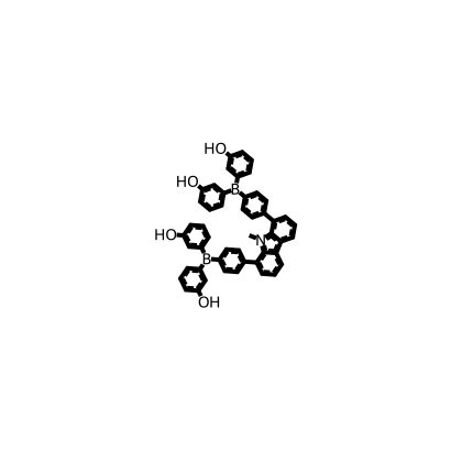 Cn1c2c(-c3ccc(B(c4cccc(O)c4)c4cccc(O)c4)cc3)cccc2c2cccc(-c3ccc(B(c4cccc(O)c4)c4cccc(O)c4)cc3)c21